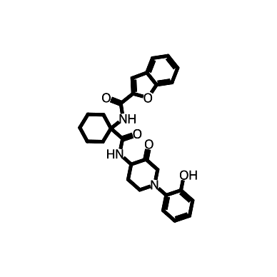 O=C(NC1(C(=O)NC2CCN(c3ccccc3O)CC2=O)CCCCC1)c1cc2ccccc2o1